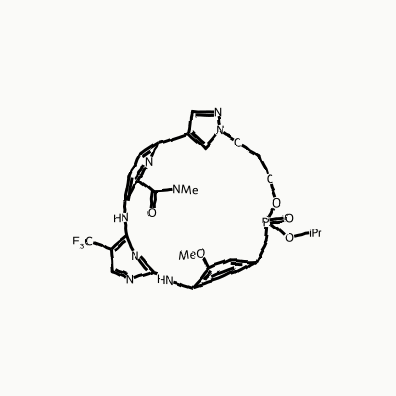 CNC(=O)c1nc2ccc1Nc1nc(ncc1C(F)(F)F)Nc1ccc(cc1OC)CP(=O)(OC(C)C)OCCCn1cc-2cn1